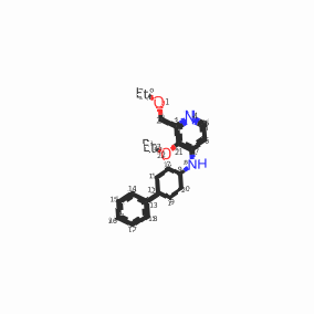 CCOCc1nccc(NC2CCC(c3ccccc3)CC2)c1OCC